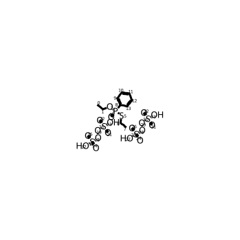 CCOP(=O)(SCC)c1ccccc1.O=S(=O)(O)OOS(=O)(=O)O.O=S(=O)(O)OOS(=O)(=O)O